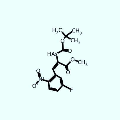 COC(=O)/C(=C\c1cc(F)ccc1[N+](=O)[O-])[AsH]C(=O)OC(C)(C)C